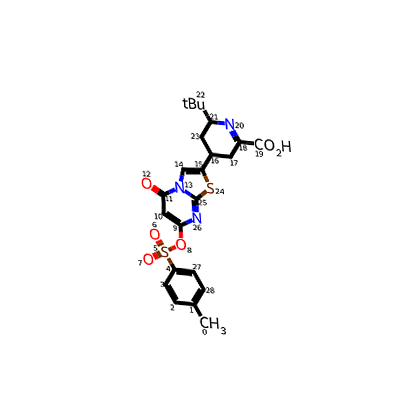 Cc1ccc(S(=O)(=O)Oc2cc(=O)n3cc(C4CC(C(=O)O)=NC(C(C)(C)C)C4)sc3n2)cc1